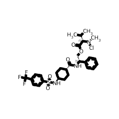 CC(C)[C@@H](C(=O)OC[C@@H](NC(=O)[C@H]1CC[C@H](NS(=O)(=O)c2ccc(C(F)(F)F)cc2)CC1)c1ccccc1)N(C)Cl